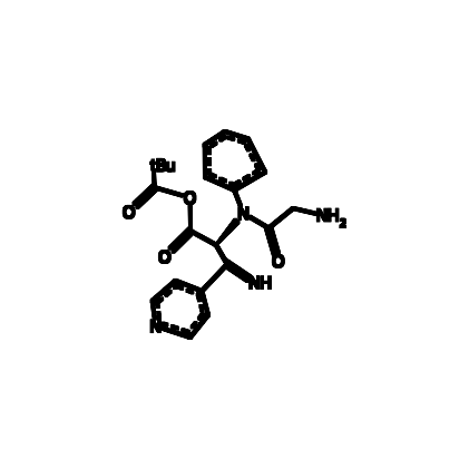 CC(C)(C)C(=O)OC(=O)[C@H](C(=N)c1ccncc1)N(C(=O)CN)c1ccccc1